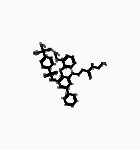 CCNC(=O)CCOc1nc(-c2ncccn2)nc(NS(=O)(=O)c2ccc(C(C)(C)C)cc2)c1Oc1ccccc1OC